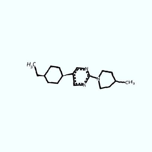 CC[C@H]1CC[C@@H](c2cnc(N3CCC(C)CC3)nc2)CC1